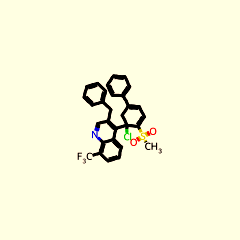 CS(=O)(=O)C1=CC=C(c2ccccc2)CC1(Cl)c1c(Cc2ccccc2)cnc2c(C(F)(F)F)cccc12